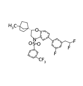 CC12CCC([C@H]3CN(S(=O)(=O)c4cccc(C(F)(F)F)c4)c4cc(-c5cc(F)cc(CC(F)F)c5)ccc4O3)(CC1)C2